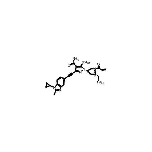 C=CC(=O)N1C[C@@H](n2nc(C#Cc3ccc4c(c3)nc(C)n4C3CC3)c(C(N)=O)c2NC)C[C@@H]1COC